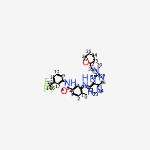 Cc1ccc(C(=O)Nc2cccc(C(F)(F)F)c2)cc1Nc1ncnc2cnc(N(C)CC3CCCCO3)nc12